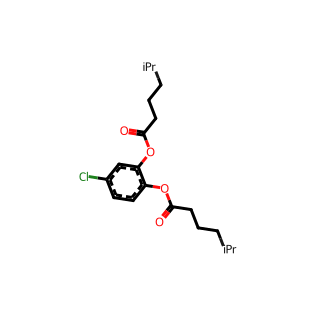 CC(C)CCCC(=O)Oc1ccc(Cl)cc1OC(=O)CCCC(C)C